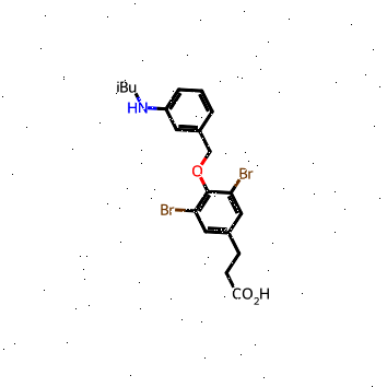 CCC(C)Nc1cccc(COc2c(Br)cc(CCC(=O)O)cc2Br)c1